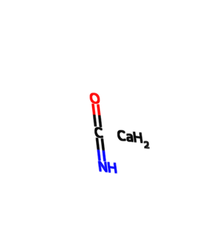 N=C=O.[CaH2]